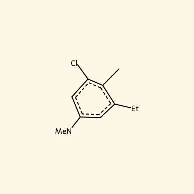 CCc1cc(NC)cc(Cl)c1C